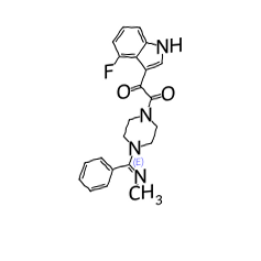 C/N=C(\c1ccccc1)N1CCN(C(=O)C(=O)c2c[nH]c3cccc(F)c23)CC1